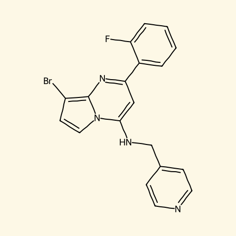 Fc1ccccc1-c1cc(NCc2ccncc2)n2ccc(Br)c2n1